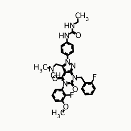 CCNC(=O)Nc1ccc(-n2nc3c(c2CN(C)C)c(=O)n(-c2cccc(OC)c2F)c(=O)n3Cc2ccccc2F)cc1